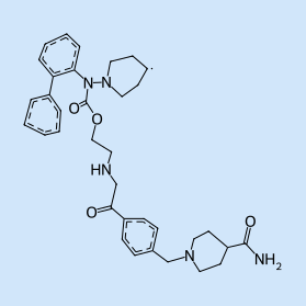 NC(=O)C1CCN(Cc2ccc(C(=O)CNCCOC(=O)N(c3ccccc3-c3ccccc3)N3CC[CH]CC3)cc2)CC1